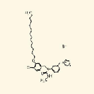 CCCCCCCCCCCCCCOc1cc(CN(C(=O)NC)c2cccc(C[n+]3ccsc3)c2)ccc1Cl.[Br-]